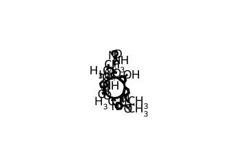 CCn1c(-c2cnccc2COC)c2c3cc(ccc31)-c1cc(O)cc(c1)C[C@H](NC(=O)[C@@H](CCNC1=NCCO1)C(C)C)C(=O)N1CCC[C@H](N1)C(=O)OCC(C)(C)C2